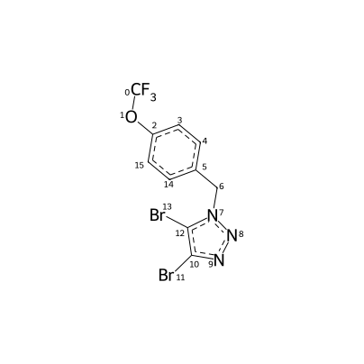 FC(F)(F)Oc1ccc(Cn2nnc(Br)c2Br)cc1